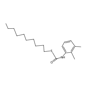 CCCCCCCCCCSC(=O)Nc1cccc(C)c1C